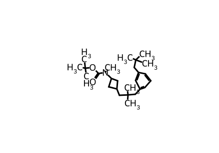 CN(C(=O)OC(C)(C)C)C1CC(CC(C)(C)Cc2cccc(CC(C)(C)C)c2)C1